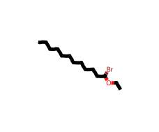 CCCCCCCCCCCC(Br)OCC